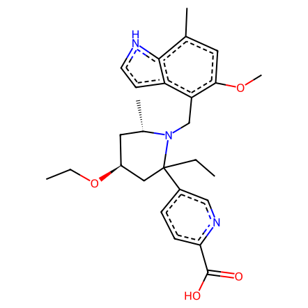 CCO[C@H]1C[C@H](C)N(Cc2c(OC)cc(C)c3[nH]ccc23)C(CC)(c2ccc(C(=O)O)nc2)C1